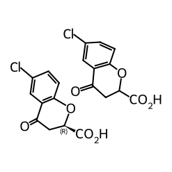 O=C1CC(C(=O)O)Oc2ccc(Cl)cc21.O=C1C[C@H](C(=O)O)Oc2ccc(Cl)cc21